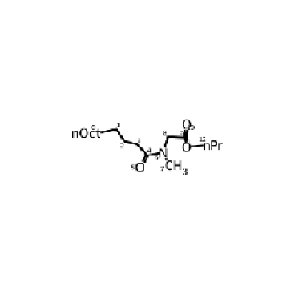 CCCCCCCCCCCC(=O)N(C)CC(=O)OCCC